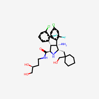 N[C@]1(c2ccc(Cl)cc2F)[C@H](CC2(CO)CCCCC2)N[C@@H](C(=O)NCC[C@H](O)CO)[C@@H]1c1cccc(Cl)c1F